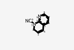 N#CN1CC=Cc2cccnc21